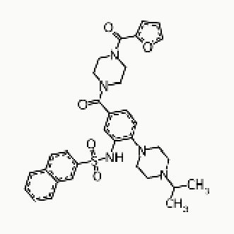 CC(C)N1CCN(c2ccc(C(=O)N3CCN(C(=O)c4ccco4)CC3)cc2NS(=O)(=O)c2ccc3ccccc3c2)CC1